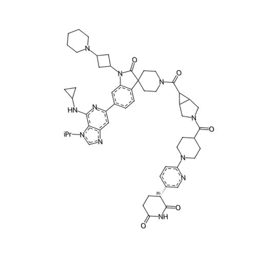 CC(C)n1cnc2cc(-c3ccc4c(c3)N(C3CC(N5CCCCC5)C3)C(=O)C43CCN(C(=O)C4C5CN(C(=O)C6CCN(c7ccc([C@H]8CCC(=O)NC8=O)cn7)CC6)CC54)CC3)nc(NC3CC3)c21